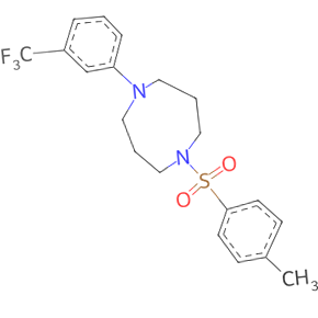 Cc1ccc(S(=O)(=O)N2CCCN(c3cccc(C(F)(F)F)c3)CCC2)cc1